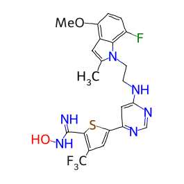 COc1ccc(F)c2c1cc(C)n2CCNc1cc(-c2cc(C(F)(F)F)c(C(=N)NO)s2)ncn1